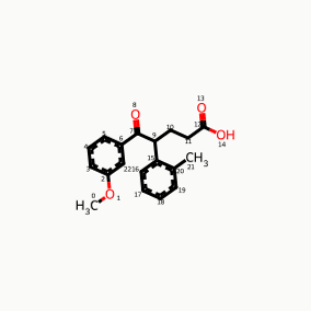 COc1cccc(C(=O)C(CCC(=O)O)c2ccccc2C)c1